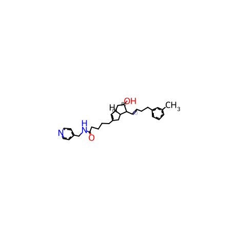 Cc1cccc(CC/C=C/C2C3CC(CCCCC(=O)NCc4ccncc4)=C[C@H]3C[C@H]2O)c1